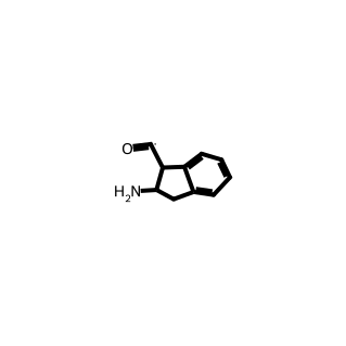 NC1Cc2ccccc2C1[C]=O